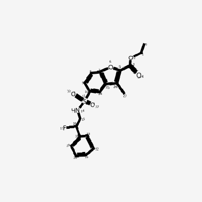 CCOC(=O)c1oc2ccc(S(=O)(=O)NCC(F)c3ccccc3)cc2c1C